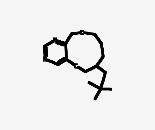 CC(C)(C)CC1CCCCCc2ncncc2CC1